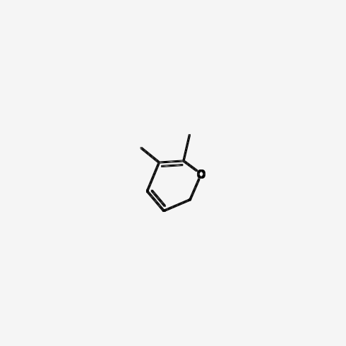 CC1=C(C)OCC=C1